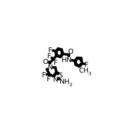 Cc1cc(NC(=O)c2ccc(F)c(C(F)(F)C(=O)N3Cc4sc(N)nc4C(F)(F)C3)c2)ccc1F